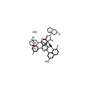 Cc1cncc(-c2nc(-c3cc(O)cc4ccc(F)c(C#C[Si](C(C)C)(C(C)C)C(C)C)c34)c(F)c3nc(OC[C@@]45CCCN4C[C@H](F)C5)nc(N4C[C@H]5CC[C@@H](C4)N5)c23)c1.Cl